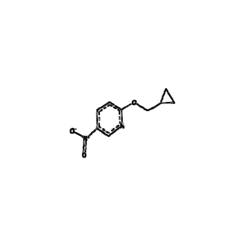 O=[N+]([O-])c1ccc(OCC2CC2)nc1